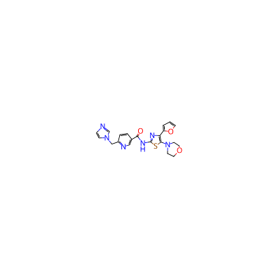 O=C(Nc1nc(-c2ccco2)c(N2CCOCC2)s1)c1ccc(Cn2ccnc2)nc1